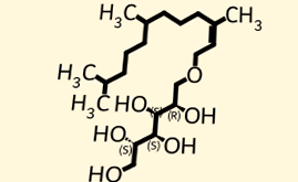 CC(=CCOC[C@@H](O)[C@H](O)[C@@H](O)[C@@H](O)CO)CCCC(C)CCCC(C)C